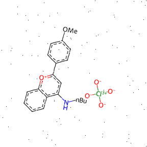 CCCCNc1cc(-c2ccc(OC)cc2)[o+]c2ccccc12.[O-][Cl+3]([O-])([O-])[O-]